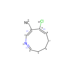 N#CC1=C/N=C\CCC/C=C\1Cl